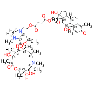 CC[C@H]1OC(=O)[C@H](C)[C@@H](O)[C@H](C)[C@@H](O[C@@H]2O[C@H](C)C[C@@H](N(C)CCOC(=O)CCC(=O)OCC(=O)[C@@]3(O)CCC4[C@@H]5CCC6=C(C)C(=O)C=C[C@]6(C)C5[C@@H](O)C[C@@]43C)[C@@H]2N(C)C)[C@](C)(O)C[C@@H](C)CN(C)[C@H](C)[C@@H](O)[C@]1(C)O